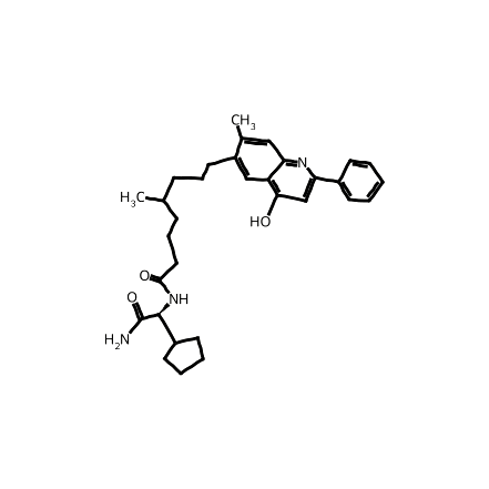 Cc1cc2nc(-c3ccccc3)cc(O)c2cc1CCCC(C)CCCC(=O)N[C@H](C(N)=O)C1CCCC1